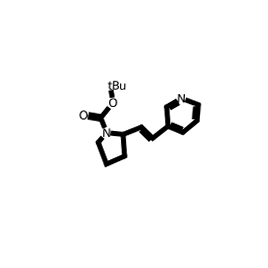 CC(C)(C)OC(=O)N1CCCC1C=Cc1cccnc1